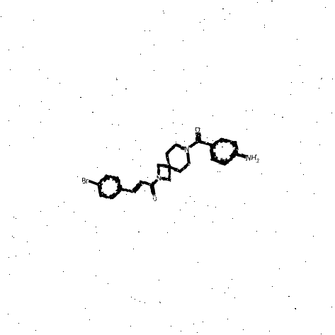 Nc1ccc(C(=O)N2CCC3(CC2)CN(C(=O)C=Cc2ccc(Br)cc2)C3)cc1